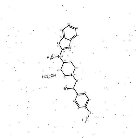 COc1ccc(C(O)CN2CCC(N(C)c3nc4ccccc4o3)CC2)cc1.Cl.Cl